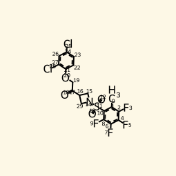 Cc1c(F)c(F)c(F)c(F)c1S(=O)(=O)N1CC(C(=O)COc2ccc(Cl)cc2Cl)C1